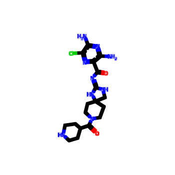 Nc1nc(N)c(C(=O)/N=C2\NCC3(CCN(C(=O)C4CCNCC4)CC3)N2)nc1Cl